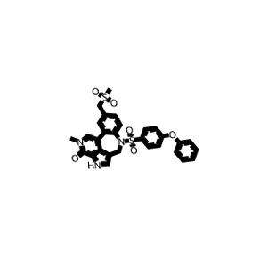 Cn1cc2c3c(c[nH]c3c1=O)CN(S(=O)(=O)c1ccc(Oc3ccccc3)cc1)c1ccc(CS(C)(=O)=O)cc1-2